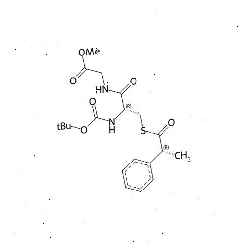 COC(=O)CNC(=O)[C@H](CSC(=O)[C@H](C)c1ccccc1)NC(=O)OC(C)(C)C